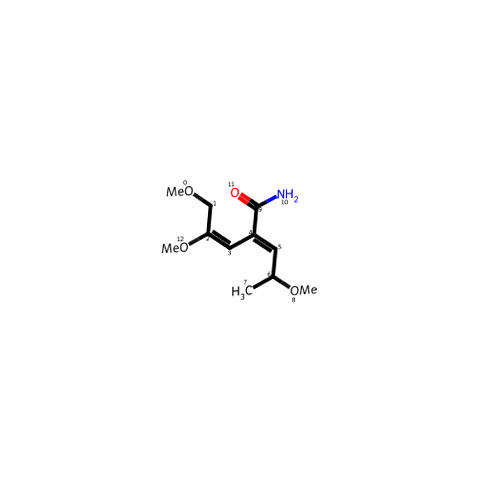 COC/C(=C\C(=C/C(C)OC)C(N)=O)OC